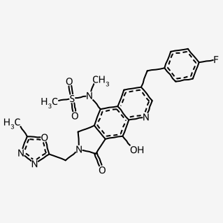 Cc1nnc(CN2Cc3c(c(O)c4ncc(Cc5ccc(F)cc5)cc4c3N(C)S(C)(=O)=O)C2=O)o1